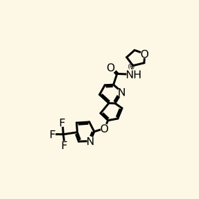 O=C(N[C@@H]1CCOC1)c1ccc2cc(Oc3ccc(C(F)(F)F)cn3)ccc2n1